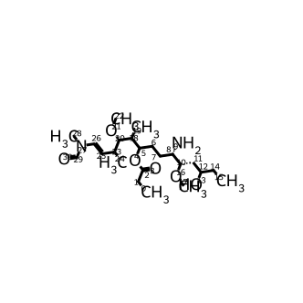 CCC(=O)OC(CC[C@H](N)[C@H](CC(O)CC)OC)C(C)[C@H](OC)C(C)/C=C/N(C)C=O